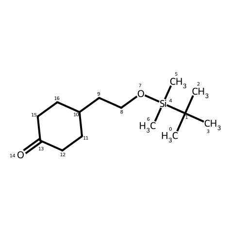 CC(C)(C)[Si](C)(C)OCCC1CCC(=O)CC1